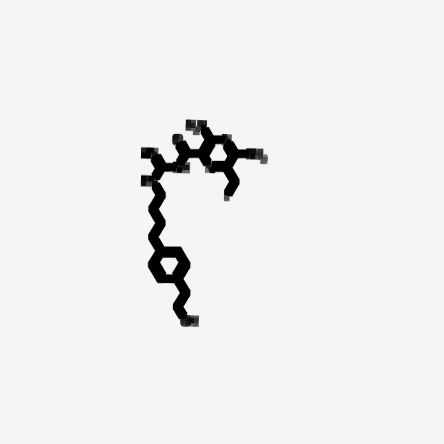 N=C(NCCCCc1ccc(CCO)cc1)NC(=O)c1nc(CI)c(N)nc1N